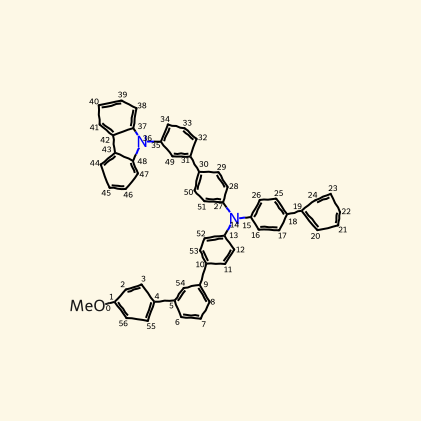 COc1ccc(-c2cccc(-c3ccc(N(c4ccc(-c5ccccc5)cc4)c4ccc(-c5cccc(-n6c7ccccc7c7ccccc76)c5)cc4)cc3)c2)cc1